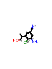 CC(CO)c1cc(C#N)cc(N)c1Cl